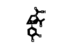 CC(=O)C=C[C@]12CN(C(=O)O)CC[C@@]1(c1ccc(Cl)c(Cl)c1)C2